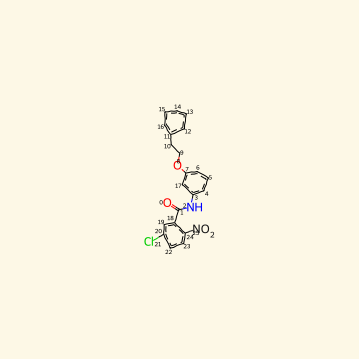 O=C(Nc1cccc(OCCc2ccccc2)c1)c1cc(Cl)ccc1[N+](=O)[O-]